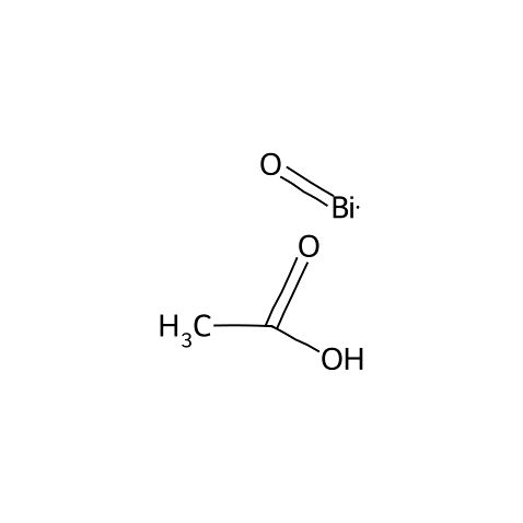 CC(=O)O.[O]=[Bi]